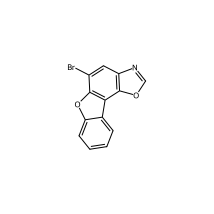 Brc1cc2ncoc2c2c1oc1ccccc12